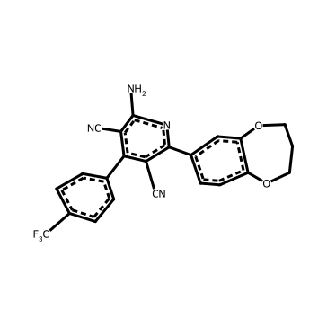 N#Cc1c(N)nc(-c2ccc3c(c2)OCCCO3)c(C#N)c1-c1ccc(C(F)(F)F)cc1